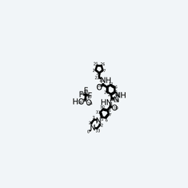 CN1CCN(c2ccc(C(=O)Nc3n[nH]c4ccc(C(=O)NCC5CCCC5)cc34)cc2)CC1.O=C(O)C(F)(F)F